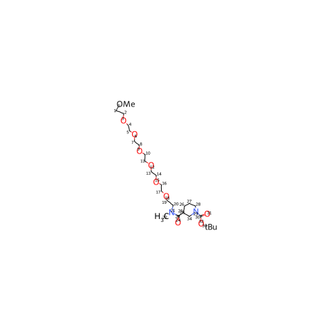 COCCOCCOCCOCCOCCOCCOCCN(C)C(=O)[C@H]1CCCN(C(=O)OC(C)(C)C)C1